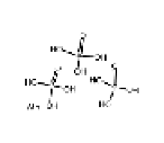 O=P(O)(O)O.O=P(O)(O)O.O=P(O)(O)O.[Mn]